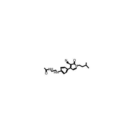 CC(=O)NCCNc1ccc(-c2ccn(CCC(C)C)c(=O)c2C#N)cc1